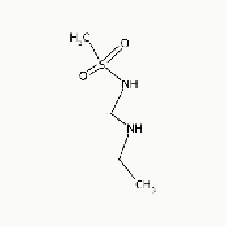 CCN[CH]NS(C)(=O)=O